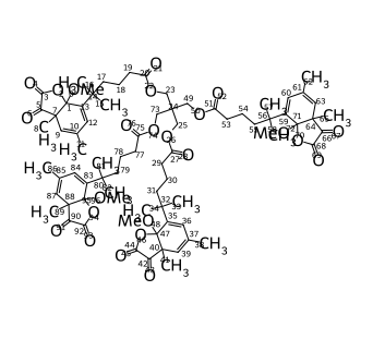 COC12OC(=O)C(=O)C1(C)C=C(C)C=C2C(C)(C)CCCC(=O)OCC(COC(=O)CCCC(C)(C)C1=CC(C)=CC2(C)C(=O)C(=O)OC12OC)(COC(=O)CCCC(C)(C)C1=CC(C)=CC2(C)C(=O)C(=O)OC12OC)COC(=O)CCCC(C)(C)C1=CC(C)=CC2(C)C(=O)C(=O)OC12OC